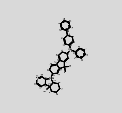 CC1(C)C2=CC(N(C3=CCC(c4ccccc4)C=C3)c3ccccc3)CC=C2C2=CCC(N3C4C=NC=CC4C4(I)CCCCC34)C=C21